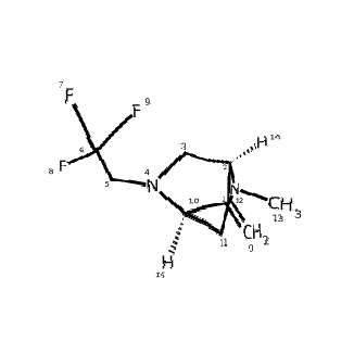 C=C1[C@H]2CN(CC(F)(F)F)[C@@H]1CN2C